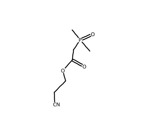 CP(C)(=O)CC(=O)OCCC#N